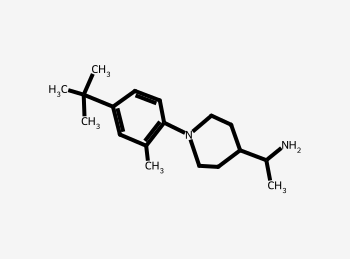 Cc1cc(C(C)(C)C)ccc1N1CCC(C(C)N)CC1